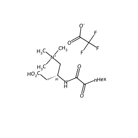 CCCCCCC(=O)C(=O)N[C@H](CC(=O)O)C[N+](C)(C)C.O=C([O-])C(F)(F)F